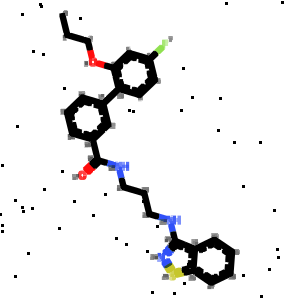 CCCOc1cc(F)ccc1-c1cccc(C(=O)NCCCNc2nsc3ccccc23)c1